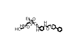 C#CCNC(=O)/C=c1\sc(=C=CNc2cccc(NC(=O)CN3CCC(c4ccccc4)CC3)c2)c(=O)n1CC